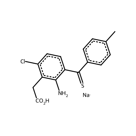 Cc1ccc(C(=S)c2ccc(Cl)c(CC(=O)O)c2N)cc1.[Na]